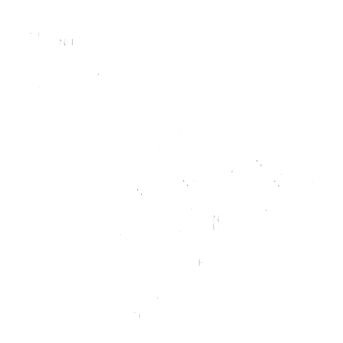 CCOc1ccc2nc(-c3cccc(OCC(=O)NC(C)(C)C)c3)nc(Nc3cnn(C)c3)c2c1F